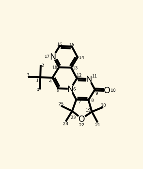 CC(C)(C)c1cn2c3c(c(=O)nc2c2cccnc12)C(C)(C)OC3(C)C